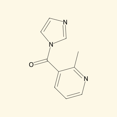 Cc1ncccc1C(=O)n1ccnc1